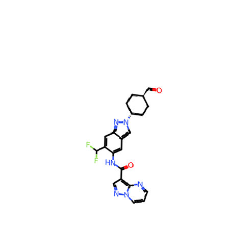 O=C[C@H]1CC[C@H](n2cc3cc(NC(=O)c4cnn5cccnc45)c(C(F)F)cc3n2)CC1